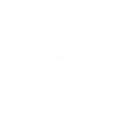 CCC1CCC2CC12C